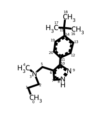 CCCN(C)Cc1c[nH]nc1-c1ccc(C(C)(C)C)cc1